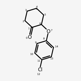 O=C1CC[CH]CC1Oc1ccc(Cl)cc1